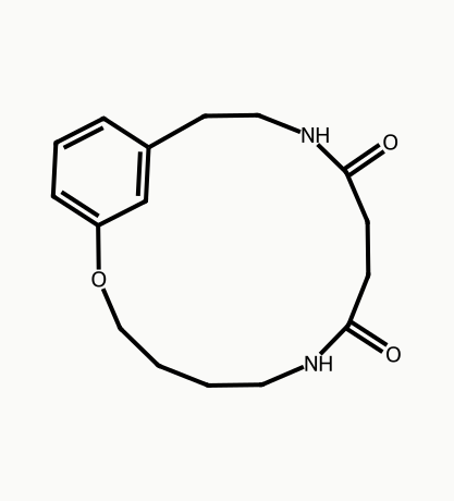 O=C1CCC(=O)NCCc2cccc(c2)OCCCCN1